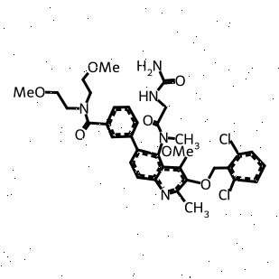 COCCN(CCOC)C(=O)c1cccc(-c2ccc3nc(C)c(OCc4c(Cl)cccc4Cl)c(OC)c3c2N(C)C(=O)CNC(N)=O)c1